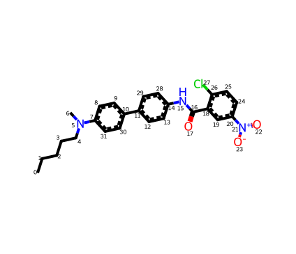 CCCCCN(C)c1ccc(-c2ccc(NC(=O)c3cc([N+](=O)[O-])ccc3Cl)cc2)cc1